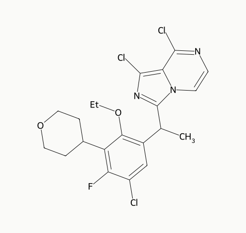 CCOc1c(C(C)c2nc(Cl)c3c(Cl)nccn23)cc(Cl)c(F)c1C1CCOCC1